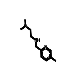 Cc1ccc(CNCCN(C)C)nc1